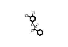 O=C(c1ccccc1)[C@H](F)Oc1ccc(Cl)c(Cl)c1